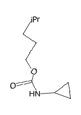 CC(C)CCCOC(=O)NC1CC1